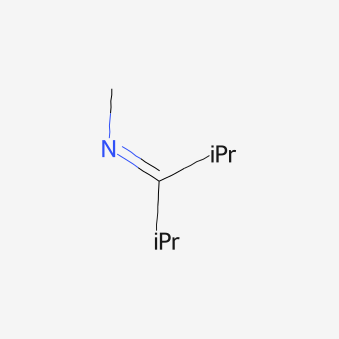 CN=C(C(C)C)C(C)C